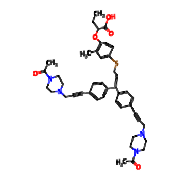 CCC(Oc1ccc(SCC=C(c2ccc(C#CCN3CCN(C(C)=O)CC3)cc2)c2ccc(C#CCN3CCN(C(C)=O)CC3)cc2)cc1C)C(=O)O